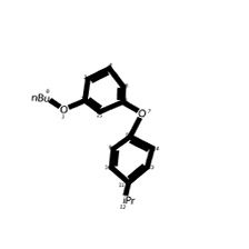 CCCCOc1cccc(Oc2ccc(C(C)C)cc2)c1